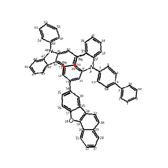 c1ccc(-c2ccc(N(c3cccc(-c4ccc5oc6c7ccccc7ccc6c5c4)c3)c3ccccc3-c3ccc4c5ccccc5n(-c5ccccc5)c4c3)cc2)cc1